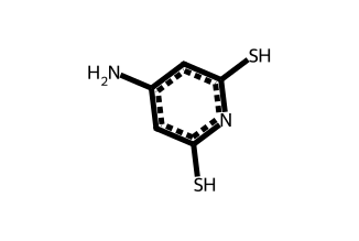 Nc1cc(S)nc(S)c1